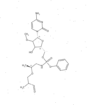 COC1C(O)[C@@H](COP(=O)(NC[C@H](C)OCC(C)C=O)Oc2ccccc2)O[C@H]1n1ccc(N)nc1=O